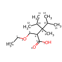 CCOCC(C(=O)O)C(C)(C(C)C)C(C)C